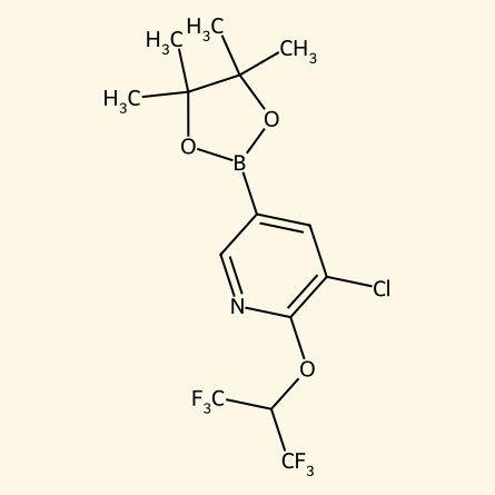 CC1(C)OB(c2cnc(OC(C(F)(F)F)C(F)(F)F)c(Cl)c2)OC1(C)C